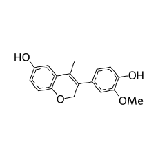 COc1cc(C2=C(C)c3cc(O)ccc3OC2)ccc1O